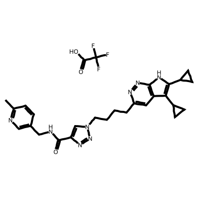 Cc1ccc(CNC(=O)c2cn(CCCCc3cc4c(C5CC5)c(C5CC5)[nH]c4nn3)nn2)cn1.O=C(O)C(F)(F)F